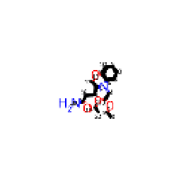 CCOC(CN1c2ccccc2OCC1CCC(N)=O)OCC